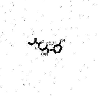 C=CC(=C)C(=O)Nc1onc(-c2cccc(C#N)c2)c1C(=O)O